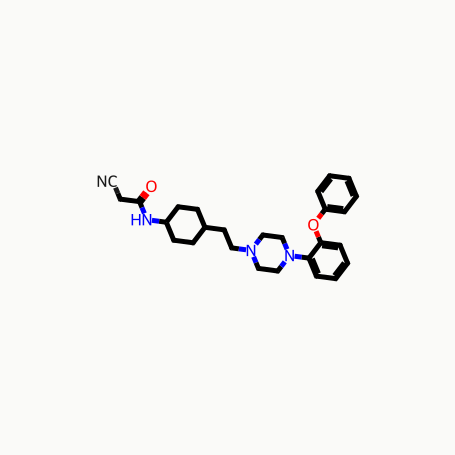 N#CCC(=O)NC1CCC(CCN2CCN(c3ccccc3Oc3ccccc3)CC2)CC1